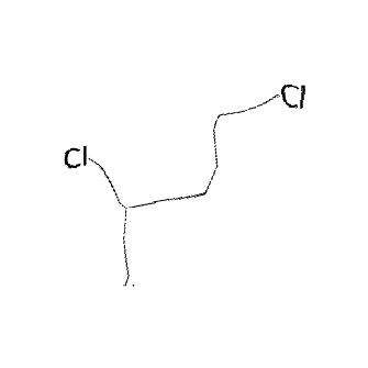 [CH2]C(Cl)CCCl